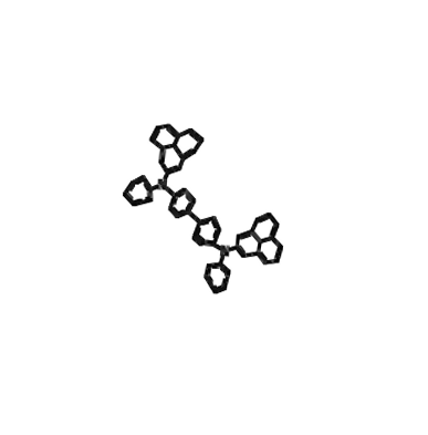 c1c(-c2ccc(N(C3=CC4=CC=CC5=CC=CC(=C3)C54)c3ccccc3)cc2)ccc(N(C2=CC3=CC=CC4=CC=CC(=C2)C43)c2ccccc2)c#1